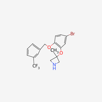 CC1(Oc2cc(Br)ccc2OCc2cccc(C(F)(F)F)c2)CNC1